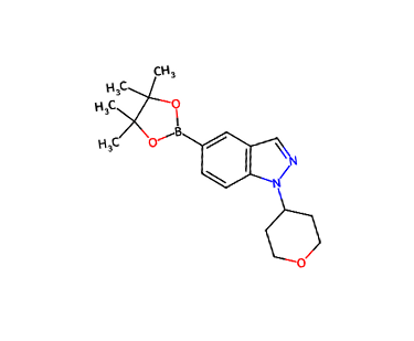 CC1(C)OB(c2ccc3c(cnn3C3CCOCC3)c2)OC1(C)C